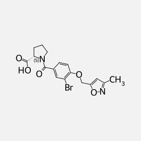 Cc1cc(COc2ccc(C(=O)N3CCC[C@H]3C(=O)O)cc2Br)on1